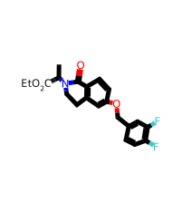 CCOC(=O)C(C)N1CCc2cc(OCc3ccc(F)c(F)c3)ccc2C1=O